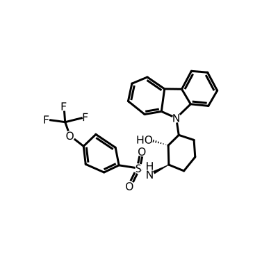 O=S(=O)(N[C@@H]1CCCC(n2c3ccccc3c3ccccc32)[C@H]1O)c1ccc(OC(F)(F)F)cc1